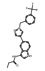 CCC(=O)Nc1c[nH]c2ccc(-c3cnn(Cc4cccc(C(F)(F)F)c4)c3)cc12